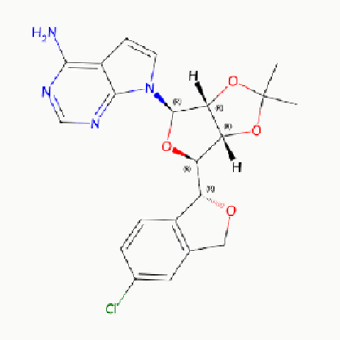 CC1(C)O[C@H]2[C@@H](O1)[C@H](n1ccc3c(N)ncnc31)O[C@@H]2[C@@H]1OCc2cc(Cl)ccc21